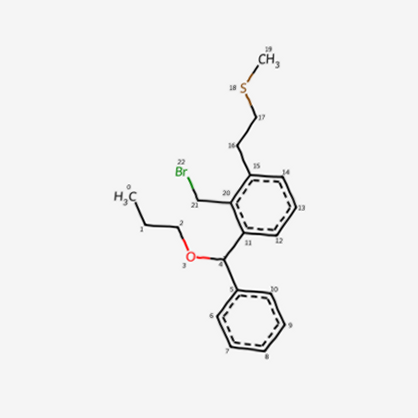 CCCO[C](c1ccccc1)c1cccc(CCSC)c1CBr